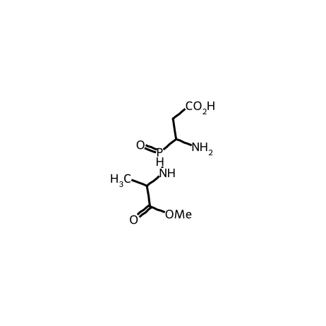 COC(=O)C(C)N[PH](=O)C(N)CC(=O)O